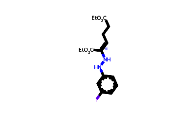 CCOC(=O)CC/C=C(/NNc1cccc(I)c1)C(=O)OCC